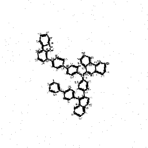 c1ccc(-c2ccc(-c3c(-c4ccc(N(c5ccc(-c6ccc(-c7cccc8c7oc7ccccc78)cc6)cc5)c5cc6ccccc6c6ccccc56)cc4)ccc4ccccc34)cc2)cc1